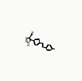 Cc1ccc(C=Cc2ccc(-c3[nH]nnc3C#N)cc2)cc1